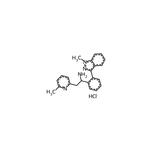 Cc1cccc(CC(N)c2ccccc2-c2nn(C)c3ccccc23)n1.Cl